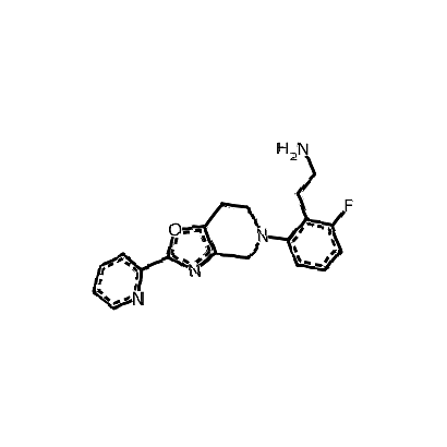 NCCc1c(F)cccc1N1CCc2oc(-c3ccccn3)nc2C1